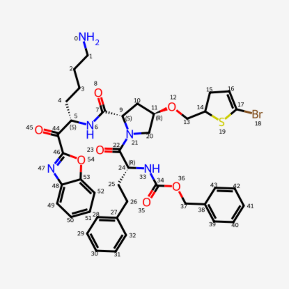 NCCCC[C@H](NC(=O)[C@@H]1C[C@@H](OCC2CC=C(Br)S2)CN1C(=O)[C@@H](CCc1ccccc1)NC(=O)OCc1ccccc1)C(=O)c1nc2ccccc2o1